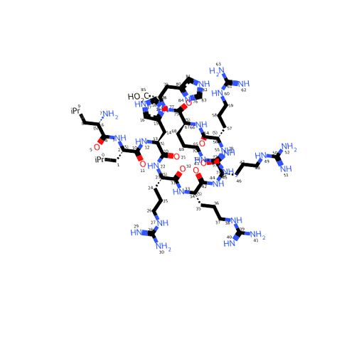 CC(C)C[C@H](NC(=O)[C@@H](N)CC(C)C)C(=O)N[C@@H](Cc1c[nH]cn1)C(=O)N[C@@H](CCCNC(=N)N)C(=O)N[C@@H](CCCNC(=N)N)C(=O)N[C@@H](CCCNC(=N)N)C(=O)N[C@@H](CCCNC(=N)N)C(=O)N[C@@H](CCCNC(=N)N)C(=O)N[C@@H](Cc1c[nH]cn1)C(=O)O